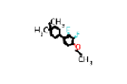 CCCOc1ccc(C2CCC(C)(CC)CC2)c(F)c1F